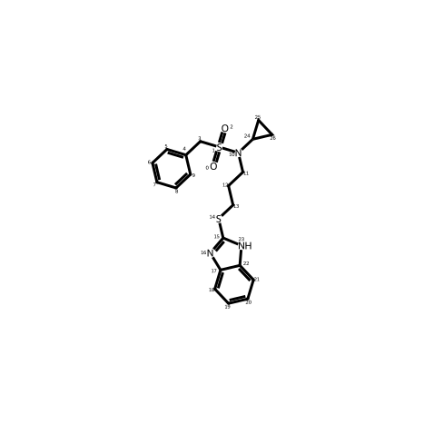 O=S(=O)(Cc1ccccc1)N(CCCSc1nc2ccccc2[nH]1)C1CC1